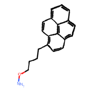 NOCCCCc1ccc2ccc3cccc4ccc1c2c34